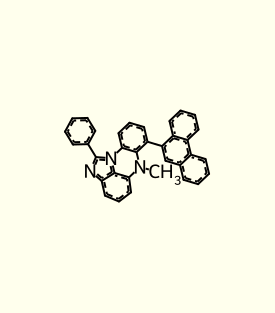 CN1c2c(-c3cc4ccccc4c4ccccc34)cccc2-n2c(-c3ccccc3)nc3cccc1c32